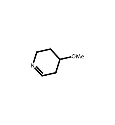 COC1CC=NCC1